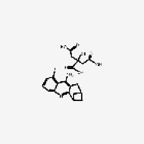 Nc1c2c(nc3cccc(F)c13)C1CC(C2)C1.O=C(O)CC(O)(CC(=O)O)C(=O)O